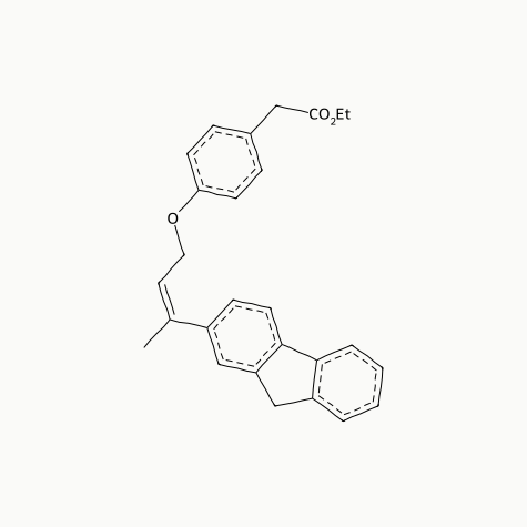 CCOC(=O)Cc1ccc(OC/C=C(/C)c2ccc3c(c2)Cc2ccccc2-3)cc1